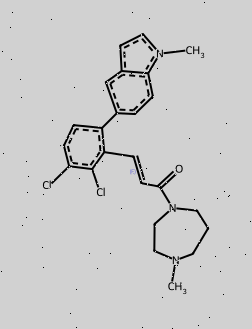 CN1CCCN(C(=O)/C=C/c2c(-c3ccc4c(ccn4C)c3)c[c]c(Cl)c2Cl)CC1